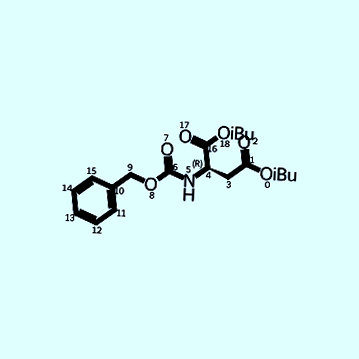 CC(C)COC(=O)C[C@@H](NC(=O)OCc1ccccc1)C(=O)OCC(C)C